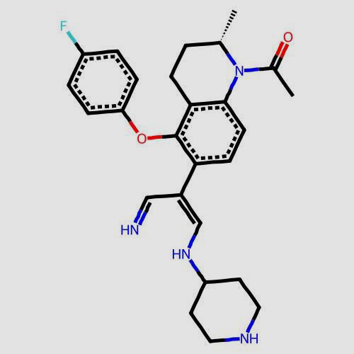 CC(=O)N1c2ccc(/C(C=N)=C/NC3CCNCC3)c(Oc3ccc(F)cc3)c2CC[C@@H]1C